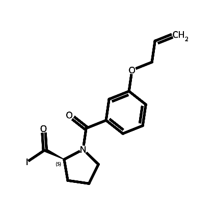 C=CCOc1cccc(C(=O)N2CCC[C@H]2C(=O)I)c1